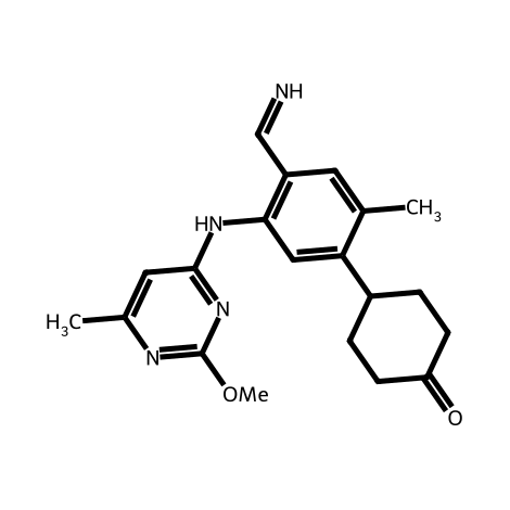 COc1nc(C)cc(Nc2cc(C3CCC(=O)CC3)c(C)cc2C=N)n1